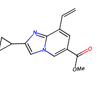 C=Cc1cc(C(=O)OC)cn2cc(C3CC3)nc12